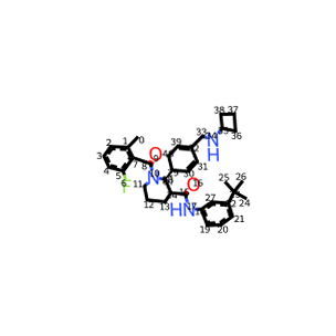 Cc1cccc(F)c1C(=O)N1CCCC(C(=O)Nc2cccc(C(C)(C)C)c2)[C@@H]1C1C=CC(CNC2CCC2)=CC1